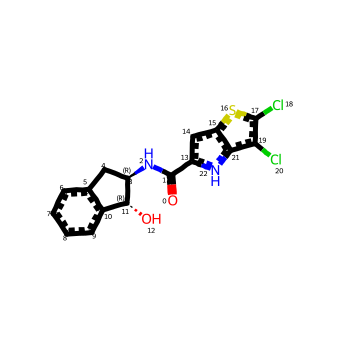 O=C(N[C@@H]1Cc2ccccc2[C@H]1O)c1cc2sc(Cl)c(Cl)c2[nH]1